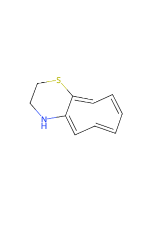 C1=C\C=C\C=C2\NCCS\C2=C/1